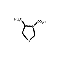 O=C(O)C1COCN1C(=O)O